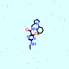 CCNc1cnc(C(=O)NCC2CCCN2C2CCCCC2)c(OC)n1